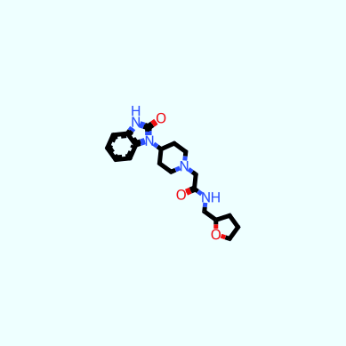 O=C(CN1CCC(n2c(=O)[nH]c3ccccc32)CC1)NCC1CCCO1